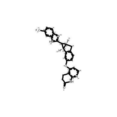 O=C1CCc2c(Oc3ccc4c(c3)[C@H]3C(c5nc6ccc(C(F)(F)F)cc6[nH]5)[C@H]3C4)ccnc2N1